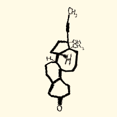 CC#C[C@]1(O)CC[C@H]2[C@@H]3CCC4=CC(=O)CCC4=C3CC[C@@]21C